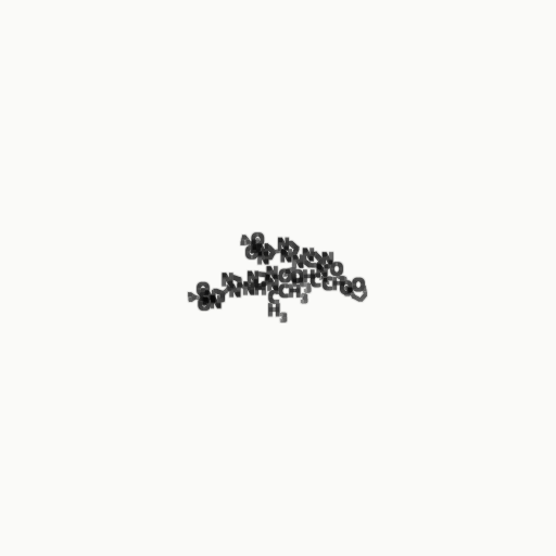 CC(C)n1c(OCCOC2CCCCO2)nc2cnc(N(c3ccnc(-c4cnn(S(=O)(=O)C5CC5)c4)n3)C(O)COc3nc4cnc(Nc5ccnc(-c6cnn(S(=O)(=O)C7CC7)c6)n5)cc4n3C(C)C)cc21